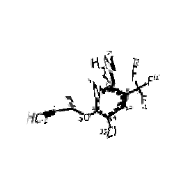 C#CCOc1nc(N)c(C(F)(F)F)cc1Cl